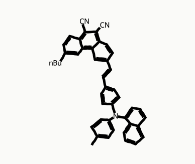 CCCCc1ccc2c(C#N)c(C#N)c3ccc(C=Cc4ccc(N(c5ccc(C)cc5)c5cccc6ccccc56)cc4)cc3c2c1